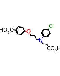 O=C(O)CCN(CCCOc1ccc(C(=O)O)cc1)c1ccc(Cl)cc1